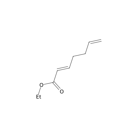 C=CCCC=CC(=O)OCC